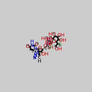 C#CC1(N=[N+]=[N-])[C@H](O)[C@@H](COP(=O)(S)OP(=O)(O)OC2OC([C@@H](F)CO)C(O)C(O)C2O)O[C@H]1n1ccc(=O)[nH]c1=O